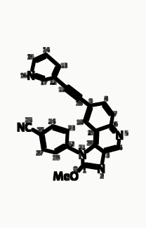 COc1nc2cnc3ccc(C#Cc4cccnc4)cc3c2n1-c1ccc(C#N)cc1